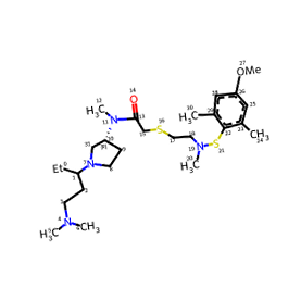 CCC(CCN(C)C)N1CC[C@@H](N(C)C(=O)CSCCN(C)Sc2c(C)cc(OC)cc2C)C1